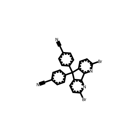 N#Cc1ccc(C2(c3ccc(C#N)cc3)c3ccc(Br)nc3-c3nc(Br)ccc32)cc1